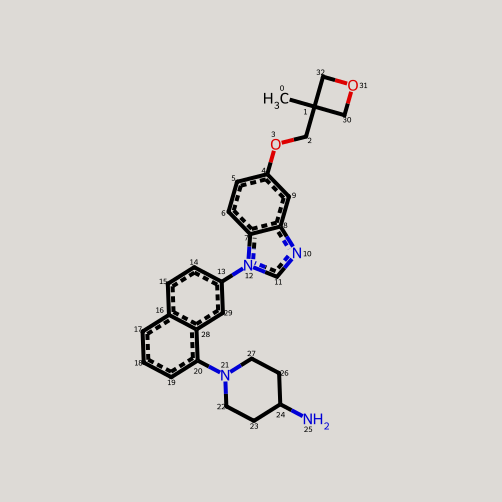 CC1(COc2ccc3c(c2)ncn3-c2ccc3cccc(N4CCC(N)CC4)c3c2)COC1